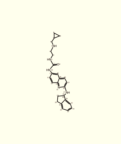 O=C(NCCNCC1CC1)Nc1ccc2nc(N[C@@H]3CCc4ccccc43)ccc2c1